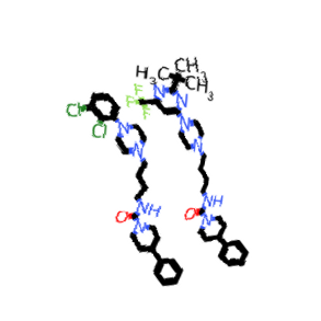 CC(C)(C)c1nc(N2CCN(CCCCNC(=O)N3CCC(c4ccccc4)CC3)CC2)cc(C(F)(F)F)n1.O=C(NCCCCN1CCN(c2cccc(Cl)c2Cl)CC1)N1CCC(c2ccccc2)CC1